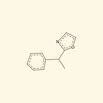 CC(c1ccccc1)c1ncco1